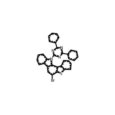 Brc1cc2c3ccccc3n(-c3nc(-c4ccccc4)nc(-c4ccccc4)n3)c2c2c1sc1ccccc12